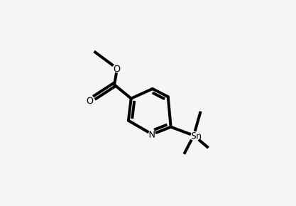 COC(=O)c1cc[c]([Sn]([CH3])([CH3])[CH3])nc1